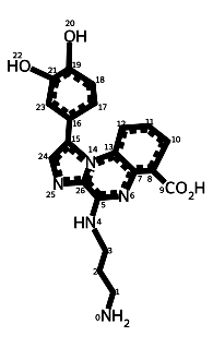 NCCCNc1nc2c(C(=O)O)cccc2n2c(-c3ccc(O)c(O)c3)cnc12